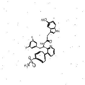 NS(=O)(=O)c1ccc(-c2cccnc2C(Cc2cc(F)cc(F)c2)NC(=O)Cc2c[nH]c3ccc(O)cc23)cc1